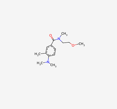 COCCN(C)C(=O)c1ccc(N(C)C)c(C)c1